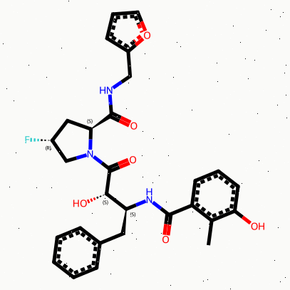 Cc1c(O)cccc1C(=O)N[C@@H](Cc1ccccc1)[C@H](O)C(=O)N1C[C@H](F)C[C@H]1C(=O)NCc1ccco1